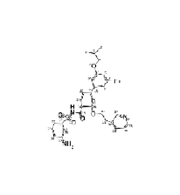 CC(C)COc1cc(F)cc(-c2ccc(C(=O)NS(=O)(=O)c3cccc(N)n3)c(OCCc3cccnc3)n2)c1